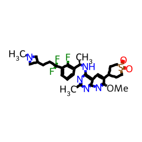 COc1nc2nc(C)nc(N[C@H](C)c3cccc(C(F)(F)CCC4CN(C)C4)c3F)c2cc1C1CCS(=O)(=O)CC1